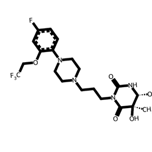 C[C@]1(O)C(=O)N(CCCN2CCN(c3ccc(F)cc3OCC(F)(F)F)CC2)C(=O)N[C@@H]1O